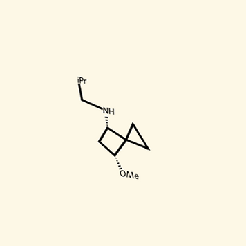 CO[C@@H]1C[C@H](NCC(C)C)C12CC2